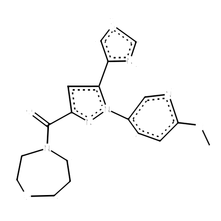 COc1ccc(-n2nc(C(=O)N3CCCOCC3)cc2-c2cscn2)cn1